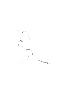 CC1(C)OC2[C@@H](CN=[N+]=[N-])O[C@@H](n3cnc4c3NCN=C4N)[C@H]2O1